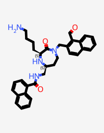 NCCCC[C@@H]1N[C@H](CNC(=O)c2cccc3ccccc23)CCN(Cc2ccc3ccccc3c2C=O)C1=O